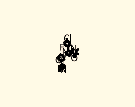 Cc1nc2c(-c3ccc(Cl)cc3F)nc([C@H]3CCO[C@@H](c4cnn(C)c4)C3)cn2c(=O)c1C